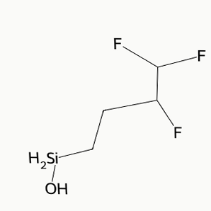 O[SiH2]CCC(F)C(F)F